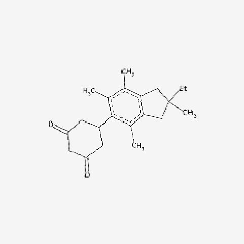 CCC1(C)Cc2c(C)c(C)c(C3CC(=O)CC(=O)C3)c(C)c2C1